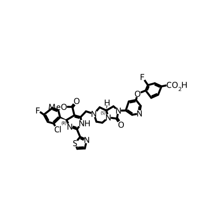 COC(=O)C1=C(CN2CCN3C(=O)N(c4cncc(Oc5ccc(C(=O)O)cc5F)c4)C[C@@H]3C2)NC(c2nccs2)=N[C@H]1c1ccc(F)cc1Cl